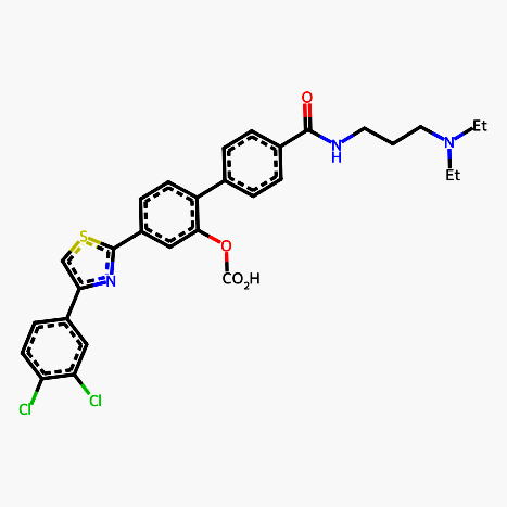 CCN(CC)CCCNC(=O)c1ccc(-c2ccc(-c3nc(-c4ccc(Cl)c(Cl)c4)cs3)cc2OC(=O)O)cc1